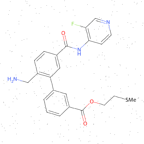 CSCCOC(=O)c1cccc(-c2cc(C(=O)Nc3ccncc3F)ccc2CN)c1